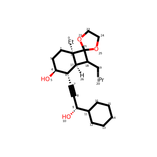 CC[C@@]12CC[C@H](O)[C@@H](C#C[C@@H](O)C3CCCCC3)[C@@H]1C(CC(C)C)C21OCCO1